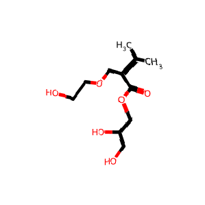 CC(C)=C(COCCO)C(=O)OCC(O)CO